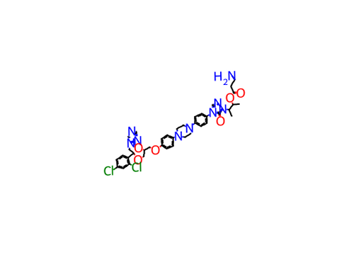 CC(OC(=O)CCN)C(C)n1ncn(-c2ccc(N3CCN(c4ccc(OCC5COC(Cn6cncn6)(c6ccc(Cl)cc6Cl)O5)cc4)CC3)cc2)c1=O